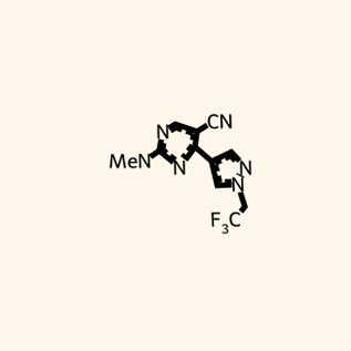 CNc1ncc(C#N)c(-c2cnn(CC(F)(F)F)c2)n1